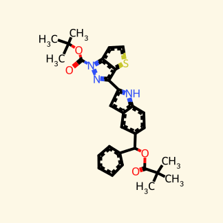 CC(C)(C)OC(=O)n1nc(-c2cc3cc(C(OC(=O)C(C)(C)C)c4ccccc4)ccc3[nH]2)c2sccc21